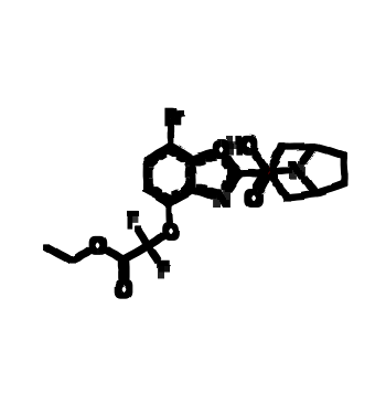 CCOC(=O)C(F)(F)Oc1ccc(Br)c2oc(N3CC4CCC(C3)N4C(=O)O)nc12